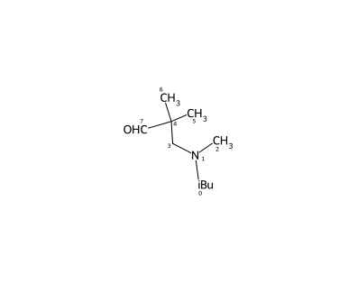 CCC(C)N(C)CC(C)(C)C=O